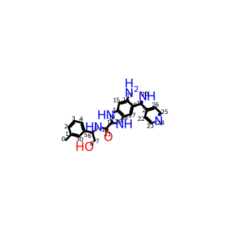 Cc1cccc(C(CO)NC(=O)C2Nc3cc(N)c(C(=N)c4ccncc4)cc3N2)c1